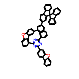 c1ccc(-c2nc(-c3ccc4c(c3)oc3ccccc34)nc(-c3cccc4oc5ccc(-c6cccc(-c7ccc8c(c7)C7(c9ccccc9-c9ccccc97)c7ccccc7-8)c6)cc5c34)n2)cc1